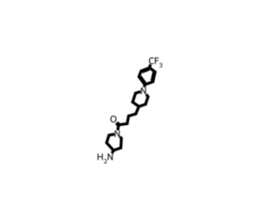 NC1CCN(C(=O)CCCC2CCN(c3ccc(C(F)(F)F)cc3)CC2)CC1